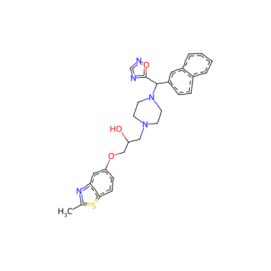 Cc1nc2cc(OCC(O)CN3CCN(C(c4ccc5ccccc5c4)c4ncno4)CC3)ccc2s1